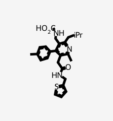 Cc1ccc(-c2c(CC(=O)NCc3cccs3)c(C)nc(CC(C)C)c2CNC(=O)O)cc1